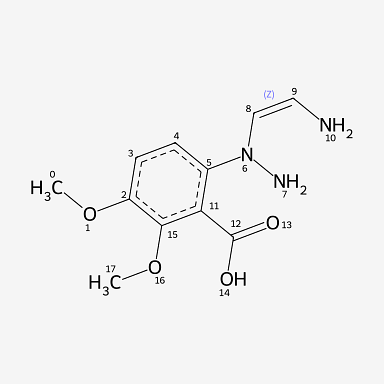 COc1ccc(N(N)/C=C\N)c(C(=O)O)c1OC